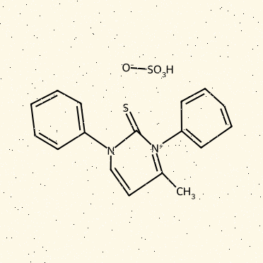 Cc1ccn(-c2ccccc2)c(=S)[n+]1-c1ccccc1.O=S(=O)([O-])O